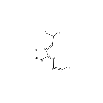 C\C=C/C=C(C=CC(C)C)\C=C/C